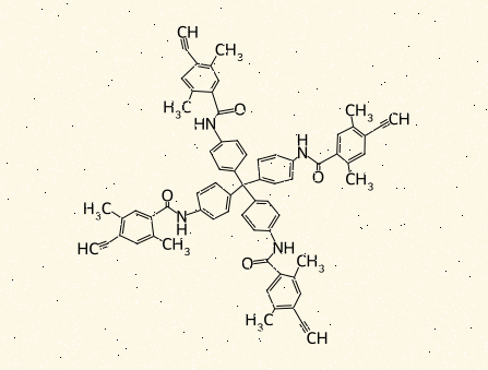 C#Cc1cc(C)c(C(=O)Nc2ccc(C(c3ccc(NC(=O)c4cc(C)c(C#C)cc4C)cc3)(c3ccc(NC(=O)c4cc(C)c(C#C)cc4C)cc3)c3ccc(NC(=O)c4cc(C)c(C#C)cc4C)cc3)cc2)cc1C